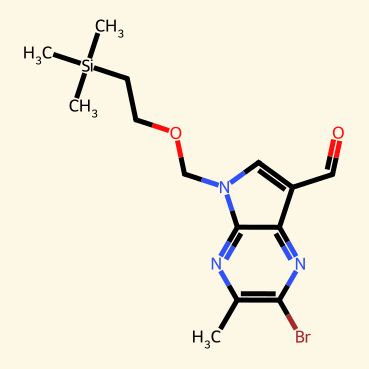 Cc1nc2c(nc1Br)c(C=O)cn2COCC[Si](C)(C)C